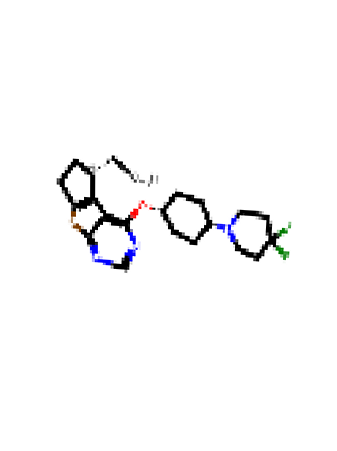 O=C(O)C[C@H]1CCc2sc3ncnc(O[C@H]4CC[C@H](N5CCC(F)(F)CC5)CC4)c3c21